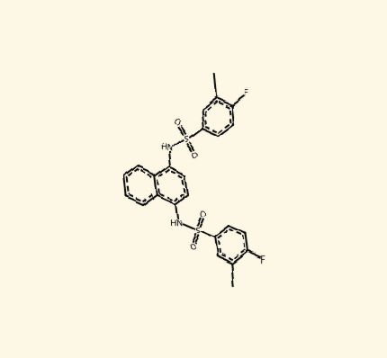 Cc1cc(S(=O)(=O)Nc2ccc(NS(=O)(=O)c3ccc(F)c(C)c3)c3ccccc23)ccc1F